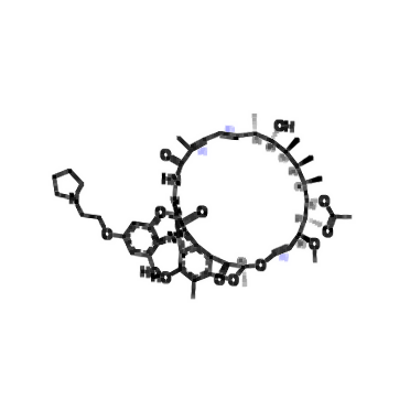 CO[C@H]1/C=C/O[C@@]2(C)Oc3c(C)c(O)c4c(=O)c(c5oc6cc(OCCN7CCCC7)cc(O)c6nc-5c4c3C2=O)NC(=O)/C(C)=C\C=C\[C@H](C)[C@H](O)[C@@H](C)[C@@H](C)[C@@H](C)[C@H](OC(C)=O)[C@@H]1C